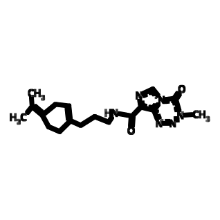 CC(C)=C1CC=C(CCCNC(=O)c2ncn3c(=O)n(C)nnc23)CC1